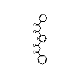 O=C(CC(=O)c1cccc(C(=O)CC(=O)C2=CCCC=C2)n1)C1=CC=CCC=C1